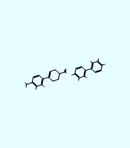 CCOc1ccc(-c2ccc(OC(=O)C3CC=C(c4ccc(C(C)O)c(F)c4F)CC3)c(F)c2F)c(F)c1F